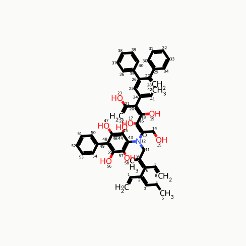 C=CC(=C/CC)/C(C=C)=C(\C)CN(/C(CO)=C(O)/C(O)=C(C(=C)O)/C(/C=C(\C(=C)c1ccccc1)c1ccccc1)=C/C)c1c(O)c(O)c(-c2ccccc2)c(O)c1O